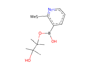 CSc1ncccc1B(O)OC(C)(C)C(C)(C)O